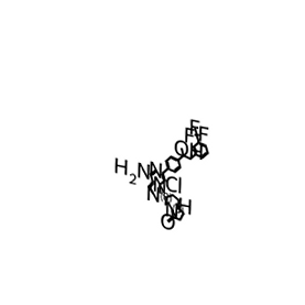 Nc1nc(-c2ccc(C(O)Cc3cccc(C(F)(F)F)c3)cc2)c(Cl)n2c([C@@H]3CC[C@H]4CCC(=O)N4C3)ncc12